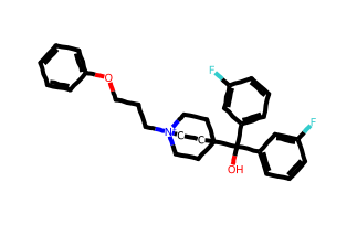 OC(c1cccc(F)c1)(c1cccc(F)c1)C12CC[N+](CCCOc3ccccc3)(CC1)CC2